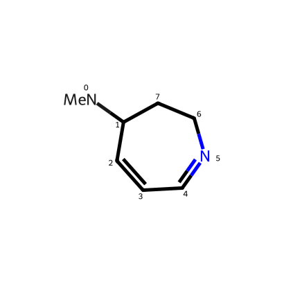 CNC1C=CC=NCC1